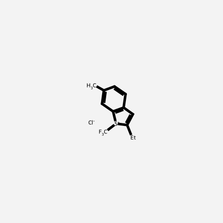 CCc1cc2ccc(C)cc2[s+]1C(F)(F)F.[Cl-]